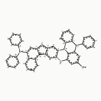 CC(C)(C)c1cc2c3c(c1)N(c1ccccc1)c1ccccc1B3c1cc3sc4cc(N(c5ccccc5)c5ccccc5)c5ccccc5c4c3cc1O2